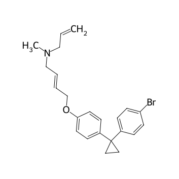 C=CCN(C)C/C=C/COc1ccc(C2(c3ccc(Br)cc3)CC2)cc1